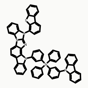 c1ccc([Si](c2ccccc2)(c2cccc(-n3c4ccccc4c4ccccc43)c2)c2cccc(-n3c4ccccc4c4ccc5c(nc6n(-c7cccc8c7sc7ccccc78)c7ccccc7n56)c43)c2)cc1